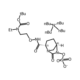 CCCC[N+](CCCC)(CCCC)CCCC.CCN(CCONC(=O)[C@@H]1CC[C@@H]2CN1C(=O)N2OS(=O)(=O)[O-])C(=O)OC(C)(C)C